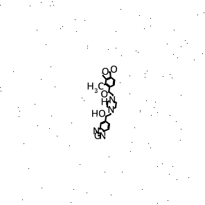 Cc1c([C@@H](O)CN2CCN(C[C@@H](O)c3ccc4nonc4c3)CC2)ccc2c1COC2=O